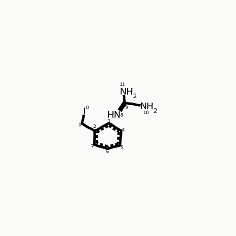 ICc1ccccc1.N=C(N)N